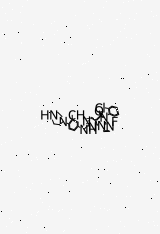 Cc1cc(Nc2ncc3c(=O)n(-c4c(F)cccc4Cl)c4nccn4c3n2)ccc1N1CCCNCC1